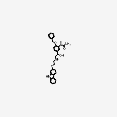 NC(=O)Nc1cc(C(O)CNCCOc2ccc3c(c2)[nH]c2ccccc23)ccc1OCc1ccccc1